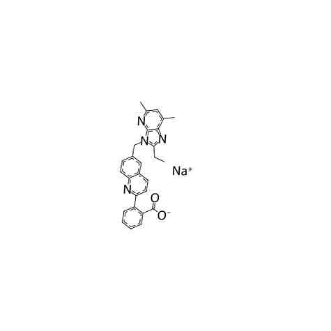 CCc1nc2c(C)cc(C)nc2n1Cc1ccc2nc(-c3ccccc3C(=O)[O-])ccc2c1.[Na+]